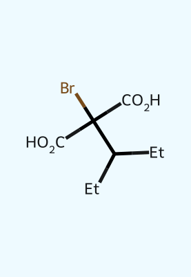 CCC(CC)C(Br)(C(=O)O)C(=O)O